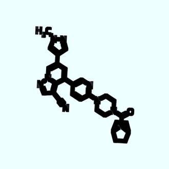 Cn1cc(-c2cc(-c3ccc(N4CCN(C(=O)N5C6CCC5CC6)CC4)nc3)c3c(C#N)cnn3c2)cn1